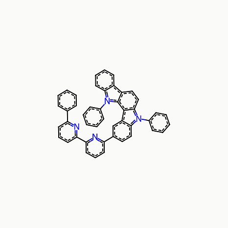 c1ccc(-c2cccc(-c3cccc(-c4ccc5c(c4)c4c(ccc6c7ccccc7n(-c7ccccc7)c64)n5-c4ccccc4)n3)n2)cc1